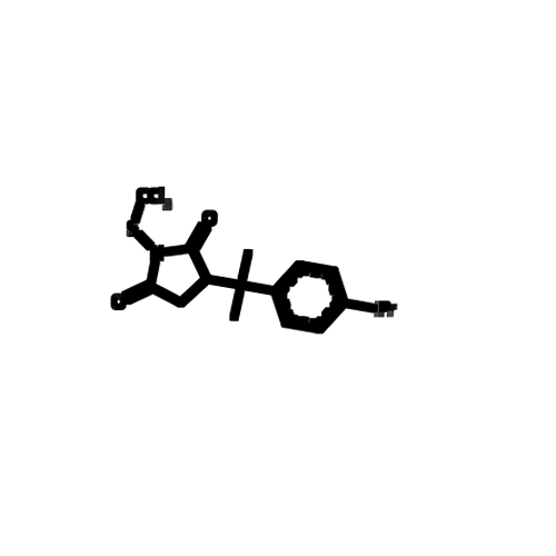 CC(C)c1ccc(C(C)(C)C2CC(=O)N(SC(Cl)(Cl)Cl)C2=O)cc1